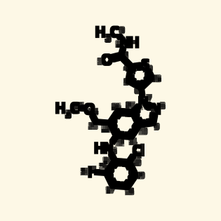 CNC(=O)c1cc(-n2ncc3cc(Nc4c(F)cccc4Cl)c(COC)cc32)cs1